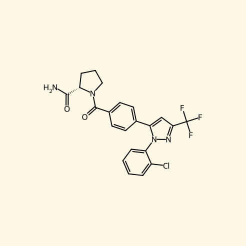 NC(=O)[C@@H]1CCCN1C(=O)c1ccc(-c2cc(C(F)(F)F)nn2-c2ccccc2Cl)cc1